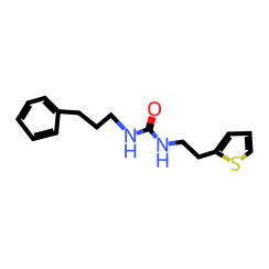 O=C(NCCCc1ccccc1)NCCc1cccs1